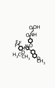 COc1ccc2cc(-c3cn(-c4cc(C(F)(F)F)ccc4OC(C)C)nc3Oc3ccc(C(=O)NCCC(=O)O)cc3)ccc2c1